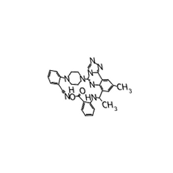 Cc1cc(C(C)Nc2ccccc2C(=O)O)c2nc(N3CCN(c4ccccc4C#N)CC3)n3cnnc3c2c1